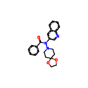 O=C(c1ccccc1)N(c1cnc2ccccc2c1)N1CCC2(CC1)OCCO2